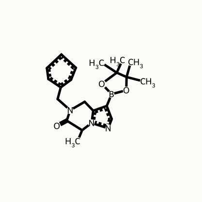 CC1C(=O)N(Cc2ccccc2)Cc2c(B3OC(C)(C)C(C)(C)O3)cnn21